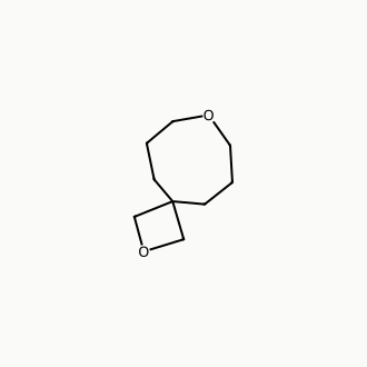 C1COCCCC2(C1)COC2